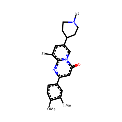 CCc1cc(C2CCN(CC)CC2)cn2c(=O)cc(-c3ccc(OC)c(OC)c3)nc12